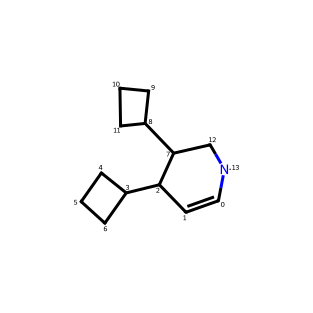 C1=CC(C2CCC2)C(C2CCC2)C[N]1